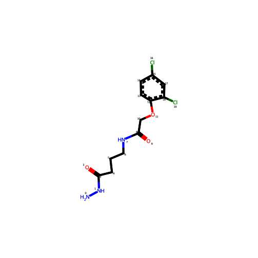 NNC(=O)CCCNC(=O)COc1ccc(Cl)cc1Cl